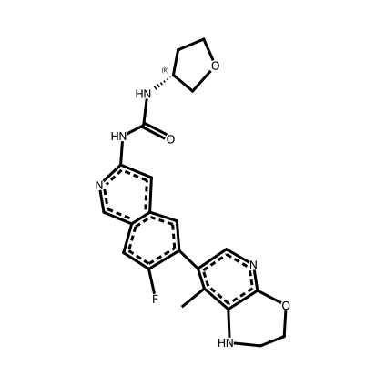 Cc1c(-c2cc3cc(NC(=O)N[C@@H]4CCOC4)ncc3cc2F)cnc2c1NCCO2